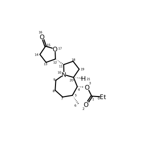 CCC(=O)O[C@@H]1[C@H](C)CCCN2C([C@@H]3CCC(=O)O3)CC[C@@H]12